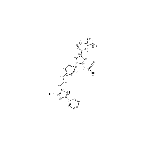 Cc1nc(-c2ccccc2)[nH]c1CCOc1ccc([C@@H]2CN(C(=O)OC(C)(C)C)C[C@@H]2CC(=O)O)cc1